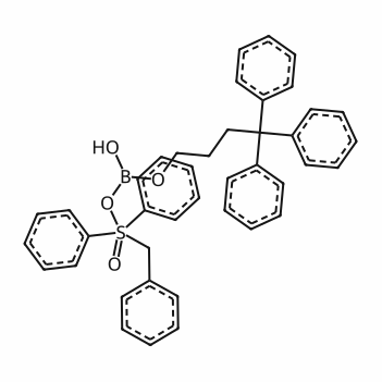 O=S(Cc1ccccc1)(OB(O)OCCCC(c1ccccc1)(c1ccccc1)c1ccccc1)(c1ccccc1)c1ccccc1